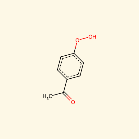 CC(=O)c1ccc(OO)cc1